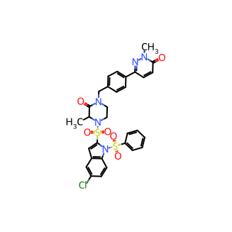 CC1C(=O)N(Cc2ccc(-c3ccc(=O)n(C)n3)cc2)CCN1S(=O)(=O)c1cc2cc(Cl)ccc2n1S(=O)(=O)c1ccccc1